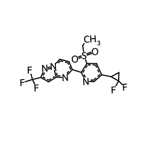 CCS(=O)(=O)c1cc(C2CC2(F)F)cnc1-c1ccn2nc(C(F)(F)F)cc2n1